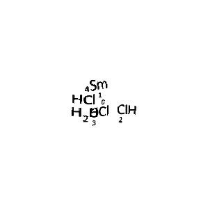 Cl.Cl.Cl.O.[Sm]